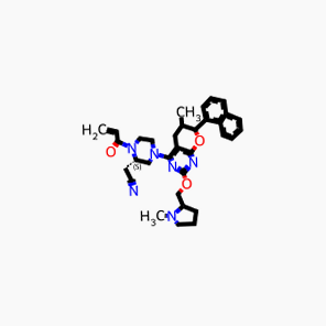 C=CC(=O)N1CCN(c2nc(OCC3CCCN3C)nc3c2CC(C)C(c2cccc4ccccc24)O3)C[C@@H]1CC#N